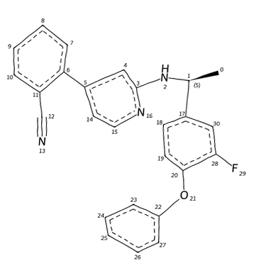 C[C@H](Nc1cc(-c2ccccc2C#N)ccn1)c1ccc(Oc2ccccc2)c(F)c1